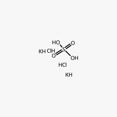 Cl.Cl.O=S(=O)(O)O.[KH].[KH]